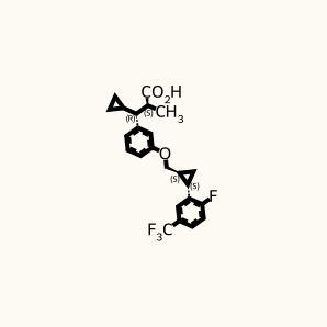 C[C@H](C(=O)O)[C@H](c1cccc(OC[C@H]2C[C@@H]2c2cc(C(F)(F)F)ccc2F)c1)C1CC1